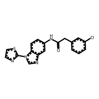 O=C(Cc1cccc(Cl)c1)Nc1ccc2c(c1)ncn2-c1nccs1